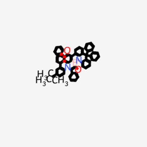 CC(C)(C)c1ccc(N2c3cc4c(oc5ccccc54)c4c3B(c3oc5ccccc5c32)N2c3ccccc3C(c3ccccc3)(c3ccccc3)c3cccc-4c32)c(-c2ccccc2)c1